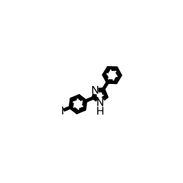 Ic1ccc(-c2nc(-c3ccccc3)c[nH]2)cc1